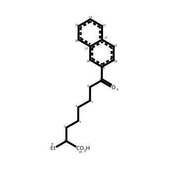 CCC(CCCCCC(=O)c1ccc2ccccc2c1)C(=O)O